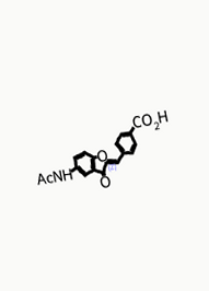 CC(=O)Nc1ccc2c(c1)C(=O)/C(=C/c1ccc(C(=O)O)cc1)O2